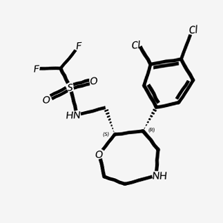 O=S(=O)(NC[C@H]1OCCNC[C@H]1c1ccc(Cl)c(Cl)c1)C(F)F